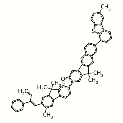 C=C/C(=C\c1cc2c(cc1C)-c1ccc3c(oc4cc5c(cc43)C(C)(C)c3cc4cc(-c6cccc7c6sc6ccc(C)cc67)ccc4cc3-5)c1C2(C)C)c1ccccc1